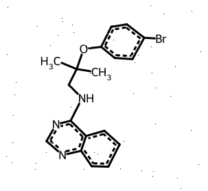 CC(C)(CNc1ncnc2ccccc12)Oc1ccc(Br)cc1